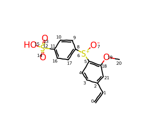 C=Cc1ccc([S+]([O-])c2ccc(S(=O)(=O)O)cc2)c(OC)c1